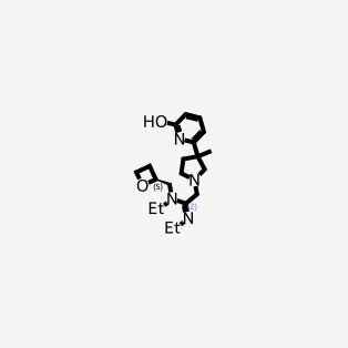 CC/N=C(/CN1CCC(C)(c2cccc(O)n2)C1)N(CC)C[C@@H]1CCO1